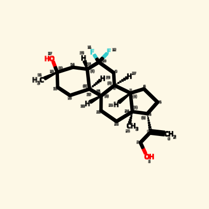 C=C(CO)[C@H]1CC[C@H]2[C@@H]3CC(F)(F)[C@H]4C[C@@](C)(O)CC[C@@H]4[C@H]3CC[C@]12C